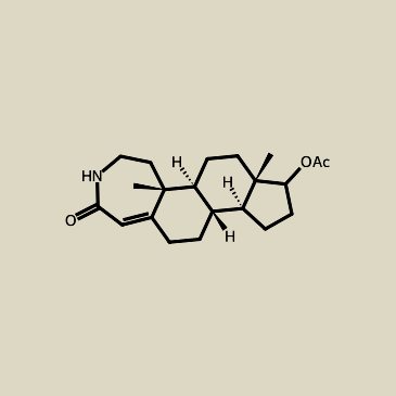 CC(=O)OC1CC[C@H]2[C@@H]3CCC4=CC(=O)NCC[C@]4(C)[C@H]3CC[C@]12C